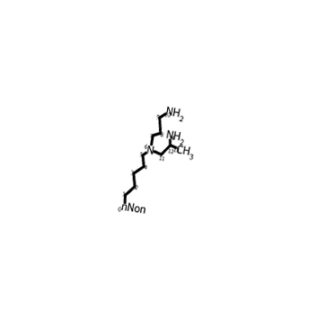 CCCCCCCCCCCCCCN(CCCN)CC(C)N